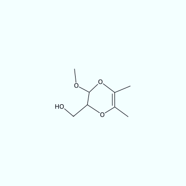 COC1OC(C)=C(C)OC1CO